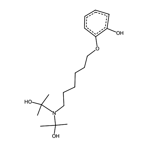 CC(C)(O)N(CCCCCCOc1ccccc1O)C(C)(C)O